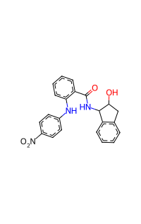 O=C(NC1c2ccccc2CC1O)c1ccccc1Nc1ccc([N+](=O)[O-])cc1